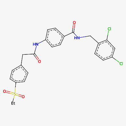 CCS(=O)(=O)c1ccc(CC(=O)Nc2ccc(C(=O)NCc3ccc(Cl)cc3Cl)cc2)cc1